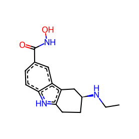 CCN[C@H]1CCc2[nH]c3ccc(C(=O)NO)cc3c2C1